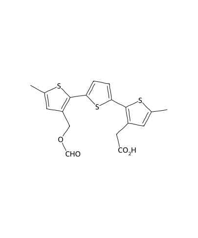 Cc1cc(COC=O)c(-c2ccc(-c3sc(C)cc3CC(=O)O)s2)s1